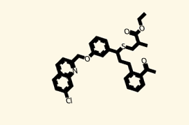 CCOC(=O)C(C)CSC(CCc1ccccc1C(C)=O)c1cccc(OCc2ccc3ccc(Cl)cc3n2)c1